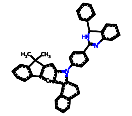 CC1(C)c2ccccc2-c2cc3c4c5ccccc5ccc4n(-c4ccc(C5=Nc6ccccc6C(c6ccccc6)N5)cc4)c3cc21